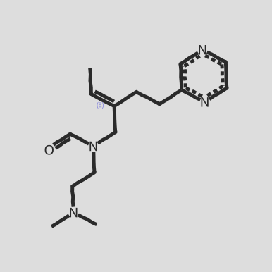 C/C=C(\CCc1cnccn1)CN(C=O)CCN(C)C